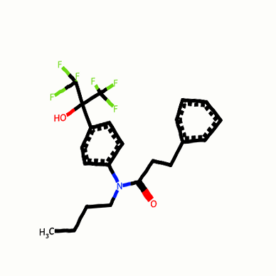 CCCCN(C(=O)CCc1ccccc1)c1ccc(C(O)(C(F)(F)F)C(F)(F)F)cc1